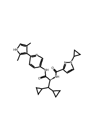 Cc1c[nH]c(C)c1-c1ccc(NC(=O)[C@@H](NC(=O)c2ccn(C3CC3)n2)C(C2CC2)C2CC2)cn1